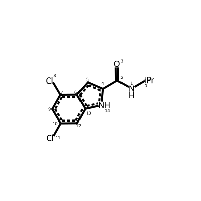 CC(C)NC(=O)c1cc2c(Cl)cc(Cl)cc2[nH]1